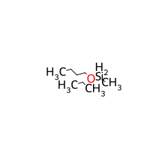 CCC.CCCCO[SiH2]C